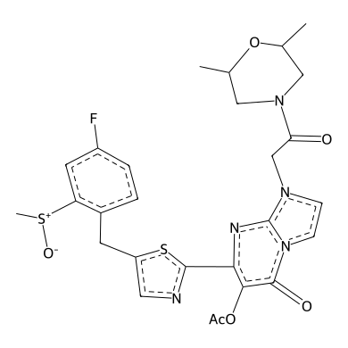 CC(=O)Oc1c(-c2ncc(Cc3ccc(F)cc3[S+](C)[O-])s2)nc2n(CC(=O)N3CC(C)OC(C)C3)ccn2c1=O